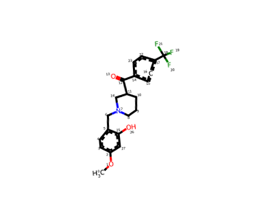 COc1ccc(CN2CCCC(C(=O)c3ccc(C(F)(F)F)cc3)C2)c(O)c1